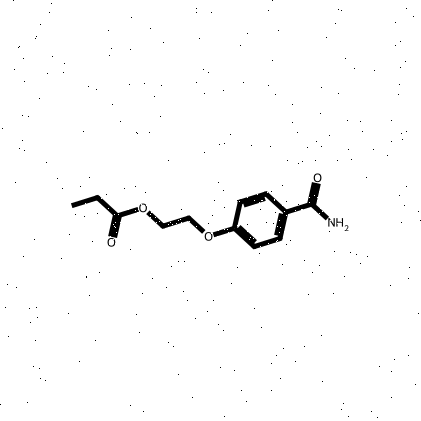 CCC(=O)OCCOc1ccc(C(N)=O)cc1